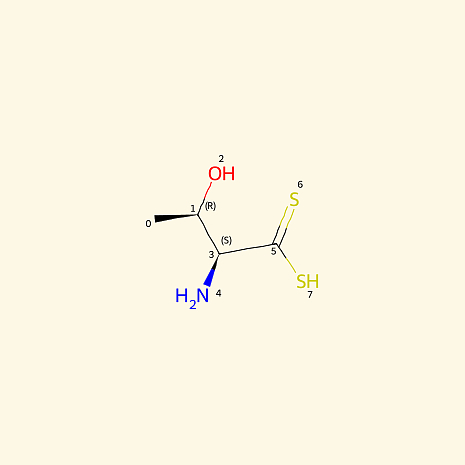 C[C@@H](O)[C@H](N)C(=S)S